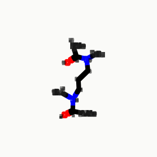 CNC(=O)N(CCCN(C(=O)NC)C(C)(C)C)C(C)(C)C